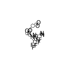 CC[C@@H]1C[C@H](N(Cc2cc(C(F)(F)F)cc(C(F)(F)F)c2)c2ncc(-c3cnn(C)c3)cn2)CN1C(=O)OCC1CCC(CC(=O)OC)CC1